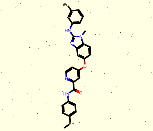 CBc1ccc(NC(=O)c2cc(Oc3ccc4c(c3)nc(Nc3cccc(C(C)C)c3)n4C)ccn2)cc1